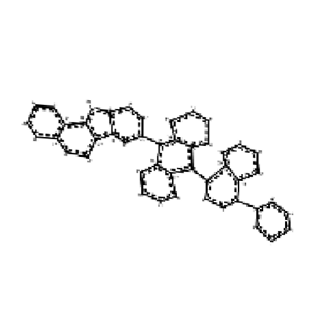 c1ccc(-c2ccc(-c3c4ccccc4c(-c4ccc5oc6c7ccccc7ccc6c5c4)c4ccccc34)c3ccccc23)cc1